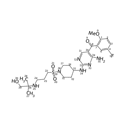 COc1ccc(F)cc1C(=O)c1cnc(NC2CCN(S(=O)(=O)CCCNC(C)(C)CO)CC2)nc1N